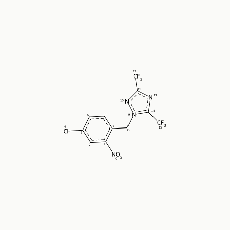 O=[N+]([O-])c1cc(Cl)ccc1Cn1nc(C(F)(F)F)nc1C(F)(F)F